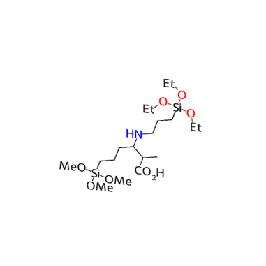 CCO[Si](CCCNC(CCC[Si](OC)(OC)OC)C(C)C(=O)O)(OCC)OCC